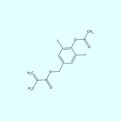 C=C(C)C(=O)OCc1cc(I)c(OC(C)=O)c(I)c1